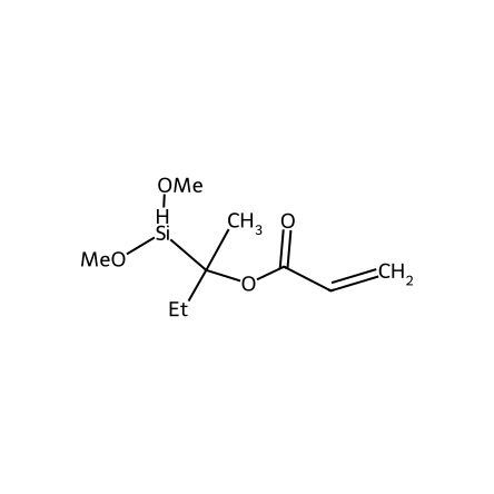 C=CC(=O)OC(C)(CC)[SiH](OC)OC